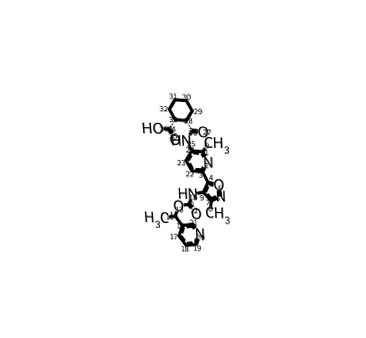 Cc1nc(-c2onc(C)c2NC(=O)OC(C)c2cccnc2)ccc1NC(=O)[C@H]1CCCC[C@H]1C(=O)O